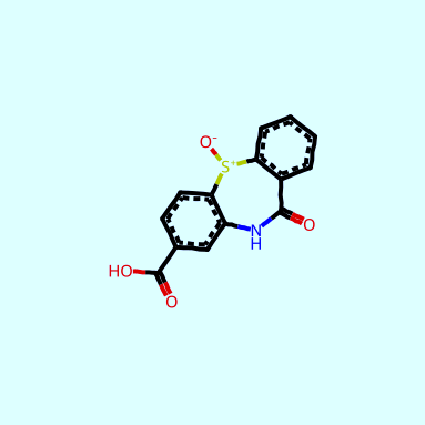 O=C(O)c1ccc2c(c1)NC(=O)c1ccccc1[S+]2[O-]